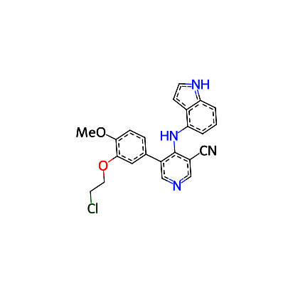 COc1ccc(-c2cncc(C#N)c2Nc2cccc3[nH]ccc23)cc1OCCCl